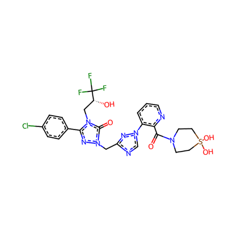 O=C(c1ncccc1-n1cnc(Cn2nc(-c3ccc(Cl)cc3)n(C[C@@H](O)C(F)(F)F)c2=O)n1)N1CCS(O)(O)CC1